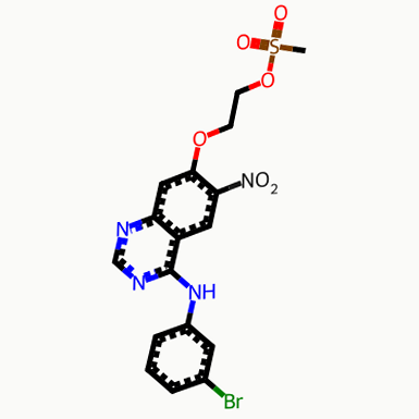 CS(=O)(=O)OCCOc1cc2ncnc(Nc3cccc(Br)c3)c2cc1[N+](=O)[O-]